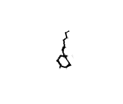 CCCCC=CC1(O)C=CC(O)=CC1